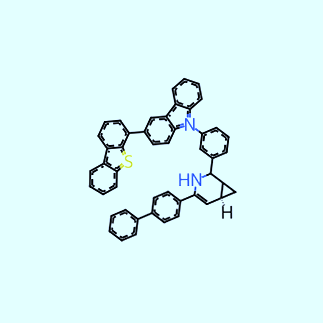 C1=C(c2ccc(-c3ccccc3)cc2)NC(c2cccc(-n3c4ccccc4c4cc(-c5cccc6c5sc5ccccc56)ccc43)c2)C2C[C@@H]12